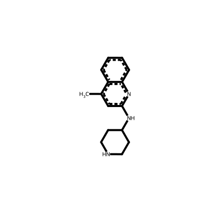 Cc1cc(NC2CCNCC2)nc2ccccc12